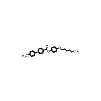 CCCCCCOc1ccc(OC(=O)c2ccc(-c3ccc(C)cc3)cc2)cc1